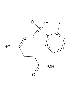 Cc1ccccc1S(=O)(=O)O.O=C(O)C=CC(=O)O